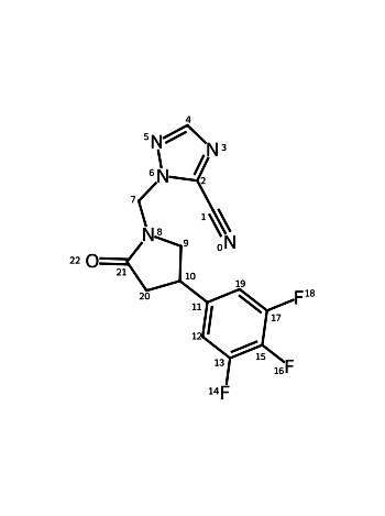 N#Cc1ncnn1CN1CC(c2cc(F)c(F)c(F)c2)CC1=O